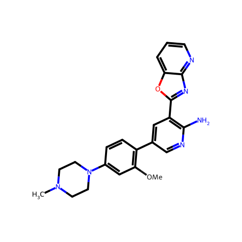 COc1cc(N2CCN(C)CC2)ccc1-c1cnc(N)c(-c2nc3ncccc3o2)c1